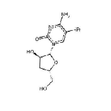 CC(C)c1cn([C@@H]2O[C@H](CO)C[C@H]2O)c(=O)nc1N